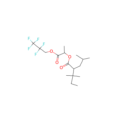 CCC(C)(C)C(CC(C)C)C(=O)OC(C)C(=O)OCC(F)(F)C(F)(F)F